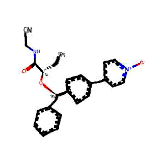 CC(C)C[C@H](O[C@H](c1ccccc1)c1ccc(-c2cc[n+]([O-])cc2)cc1)C(=O)NCC#N